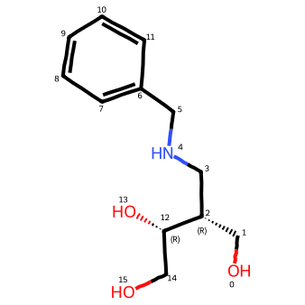 OC[C@@H](CNCc1ccccc1)[C@@H](O)CO